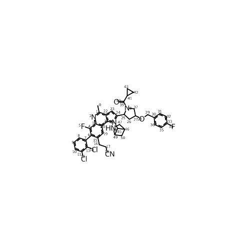 Cc1nc2c(F)c(-c3cccc(Cl)c3Cl)c(CCC#N)cc2c2c1cc(C1CC(OCc3ccc(F)cc3)CN1C(=O)C1CC1)n2C1C2CNC1C2